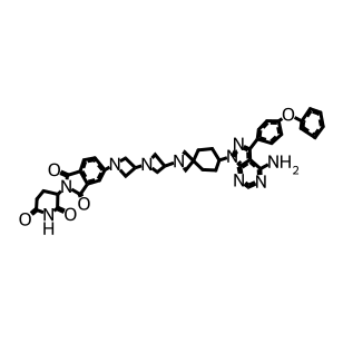 Nc1ncnc2c1c(-c1ccc(Oc3ccccc3)cc1)nn2C1CCC2(CC1)CN(C1CN(C3CN(c4ccc5c(c4)C(=O)N(C4CCC(=O)NC4=O)C5=O)C3)C1)C2